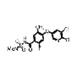 CNS(=O)(=O)NC(=O)c1cc(C)c(Oc2cnc(Cl)c(Cl)c2)cc1F